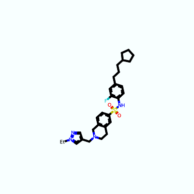 CCn1cc(CN2CCc3cc(S(=O)(=O)Nc4ccc(CCCC5CCCC5)cc4F)ccc3C2)cn1